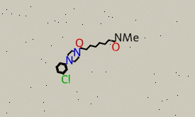 CNC(=O)CCCCCCC(=O)N1CCN(c2cccc(Cl)c2)CC1